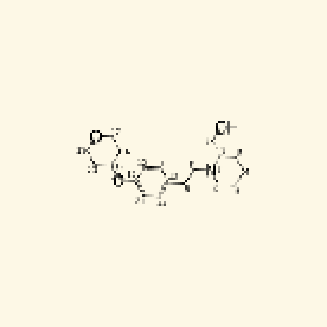 OC[C@@H]1CCCCN1CCc1ccc(OC2CCOCC2)cc1